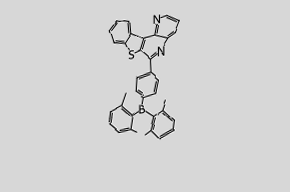 Cc1cccc(C)c1B(c1ccc(-c2nc3cccnc3c3c2sc2ccccc23)cc1)c1c(C)cccc1C